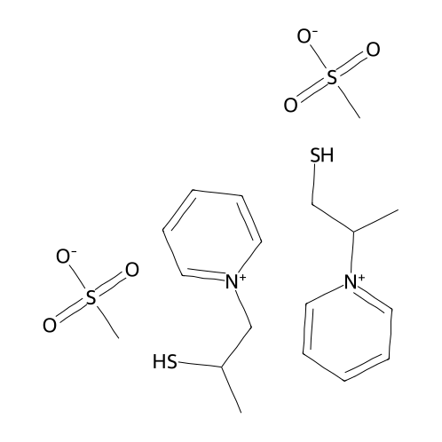 CC(CS)[n+]1ccccc1.CC(S)C[n+]1ccccc1.CS(=O)(=O)[O-].CS(=O)(=O)[O-]